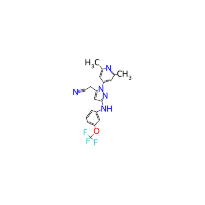 Cc1cc(-n2nc(Nc3cccc(OC(F)(F)F)c3)cc2CC#N)cc(C)n1